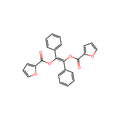 O=C(O/C(=C(/OC(=O)c1ccco1)c1ccccc1)c1ccccc1)c1ccco1